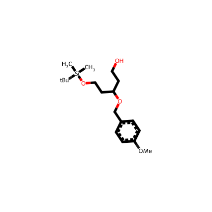 COc1ccc(COC(CCO)CCO[Si](C)(C)C(C)(C)C)cc1